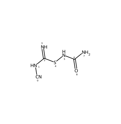 N#CNC(=N)SNC(N)=O